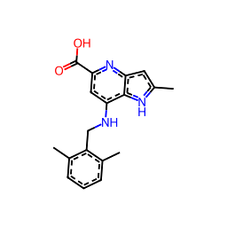 Cc1cc2nc(C(=O)O)cc(NCc3c(C)cccc3C)c2[nH]1